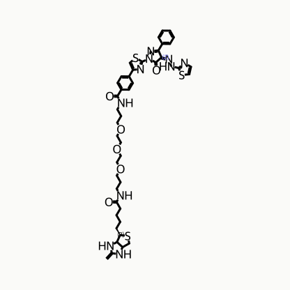 C=C1NC2CS[C@H](CCCCC(=O)NCCCOCCOCCOCCCNC(=O)c3ccc(-c4csc(N5N=C(c6ccccc6)/C(=N/Nc6nccs6)C5=O)n4)cc3)C2N1